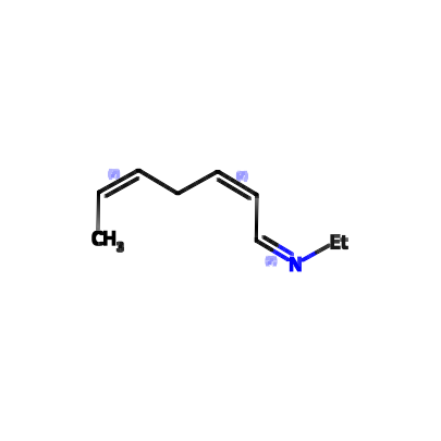 C/C=C\C/C=C\C=N/CC